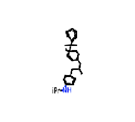 CC(CC1=CCC(C)(C(C)(C)c2ccccc2)C=C1)Cc1ccc(NC(C)C)cc1